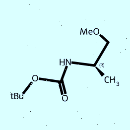 COC[C@@H](C)NC(=O)OC(C)(C)C